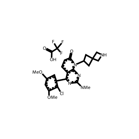 CNc1nc(-c2cc(OC)cc(OC)c2Cl)c2ccc(=O)n(C3CC4(CNC4)C3)c2n1.O=C(O)C(F)(F)F